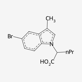 CCCC(C(=O)O)n1cc(C)c2cc(Br)ccc21